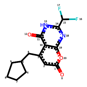 O=c1cc(CC2CCCC2)c2c(=O)[nH]c(C(F)F)nc2o1